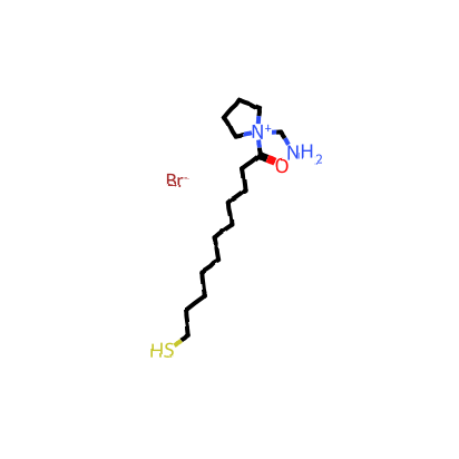 NC[N+]1(C(=O)CCCCCCCCCCS)CCCC1.[Br-]